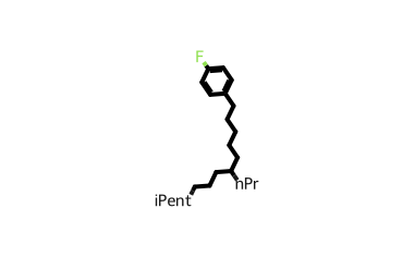 CCCC(C)CCCC(CCC)CCCCCc1ccc(F)cc1